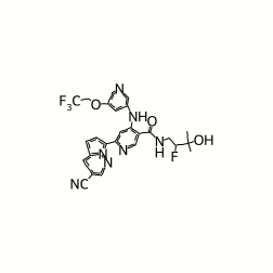 CC(C)(O)C(F)CNC(=O)c1cnc(-c2ccc3cc(C#N)cnn23)cc1Nc1cncc(OCC(F)(F)F)c1